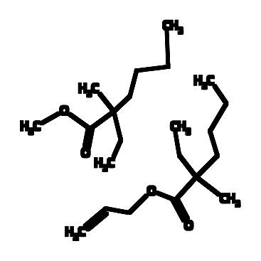 C=CCOC(=O)C(C)(CC)CCCC.CCCCC(C)(CC)C(=O)OC